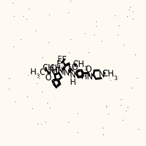 COc1cc(C(=O)NC2CCN(C)CC2)ccc1Nc1ncc(C(F)(F)F)c(N[C@@H]2Cc3ccccc3[C@H]2N(C)C(=O)C(C)C)n1